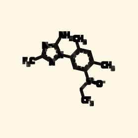 Cc1cc(C)c([S@@+]([O-])CC(F)(F)F)cc1-n1nc(C(F)(F)F)nc1N